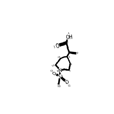 C=C(C(=O)O)C1CCN(S(C)(=O)=O)CC1